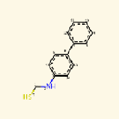 SCNc1ccc(-c2ccccc2)cc1